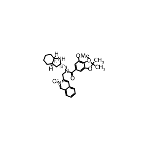 COc1cc(C(=O)N(Cc2cc3ccccc3c[n+]2[O-])C[C@@H]2C[C@@H]3CCCC[C@@H]3N2)cc2c1OC(C)(C)O2